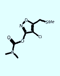 CSCc1onc(OC(=O)N(C)C)c1Cl